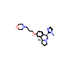 Cn1ccnc1[C@H]1CN2CCC[C@H]2c2cc(OCCCN3CCOCC3)ccc21